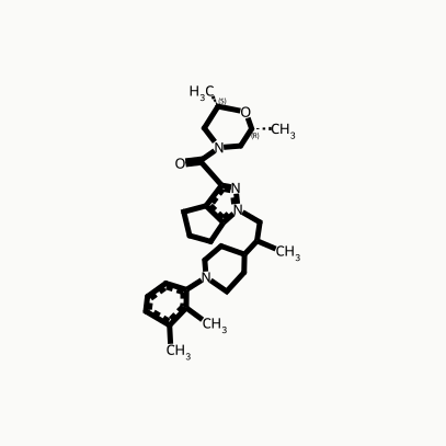 Cc1cccc(N2CCC(C(C)Cn3nc(C(=O)N4C[C@@H](C)O[C@@H](C)C4)c4c3CCC4)CC2)c1C